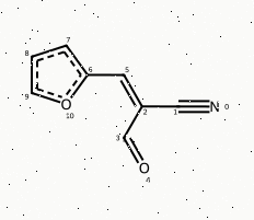 N#CC([C]=O)=Cc1ccco1